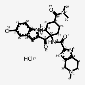 CN1CCc2nc(C(=O)NC3(C(=O)c4cc5cc(Cl)ccc5[nH]4)CCC(C(=O)N(C)C)CC3N)sc2C1.Cl